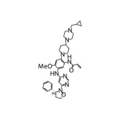 C=CC(=O)Nc1cc(Nc2cc(N3OCC[C@@H]3c3ccccc3)ncn2)c(OC)cc1N1CCC(N2CCN(CC3CC3)CC2)CC1